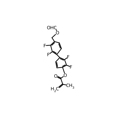 C=C(C)C(=O)Oc1ccc(-c2ccc(COC=O)c(F)c2F)c(F)c1F